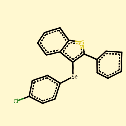 Clc1ccc([Se]c2c(-c3ccccc3)sc3ccccc23)cc1